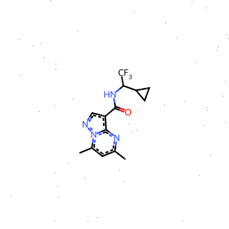 Cc1cc(C)n2ncc(C(=O)NC(C3CC3)C(F)(F)F)c2n1